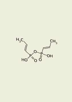 CC=CP(=O)(O)OP(=O)(O)C=CC